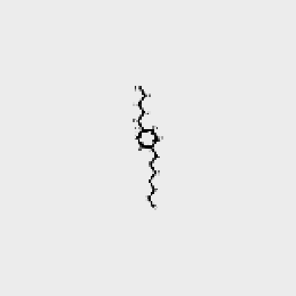 CCCCCCCc1ccc(CCCCC)cc1